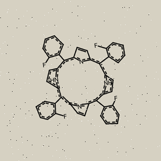 Fc1ccccc1-c1c2nc(c(-c3ccccc3F)c3ccc([nH]3)c(-c3ccccc3F)c3nc(c(-c4ccccc4F)c4ccc1[nH]4)C=C3)C=C2